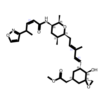 COC(=O)C[C@H]1C[C@H](/C=C/C(C)=C/C[C@@H]2O[C@H](C)[C@H](NC(=O)/C=C\C(C)c3ccon3)C[C@@H]2C)[C@@H](O)[C@]2(CO2)C1